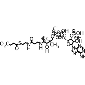 CC(C)(COP(=O)(O)OP(=O)(O)OC[C@H]1O[C@@H](n2cnc3c(N)ncnc32)[C@H](O)[C@@H]1OP(=O)(O)O)[C@@H](O)C(=O)NCCC(=O)NCCSC(=O)CCC(=O)O.[C]